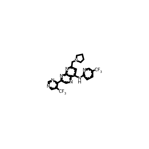 FC(F)(F)c1ccc(Nc2cc(CN3CCCC3)nc3nc(-c4ncncc4C(F)(F)F)cnc23)nc1